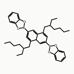 CCCCC(CC)CC1=C=C(B2Oc3ccccc3O2)C=C2C(CC(CC)CCCC)=CC(B3Oc4ccccc4O3)=CC12